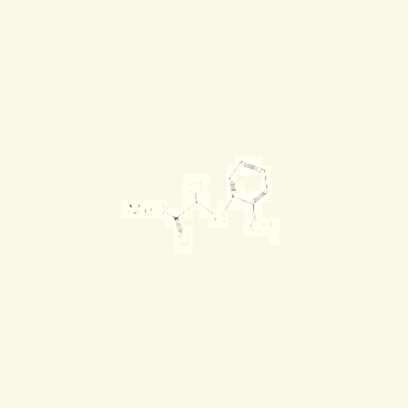 COC(=O)C(Cl)Oc1ccccc1C